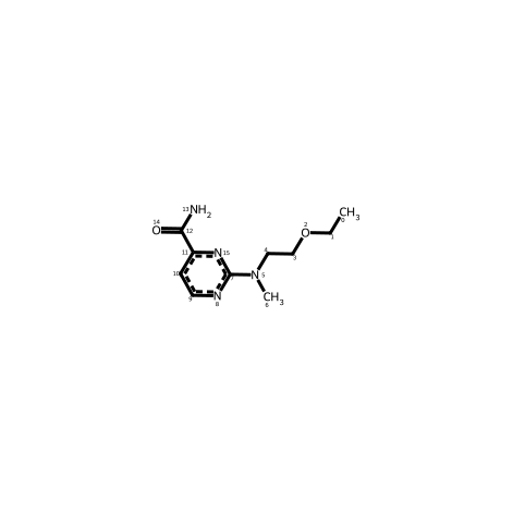 CCOCCN(C)c1nc[c]c(C(N)=O)n1